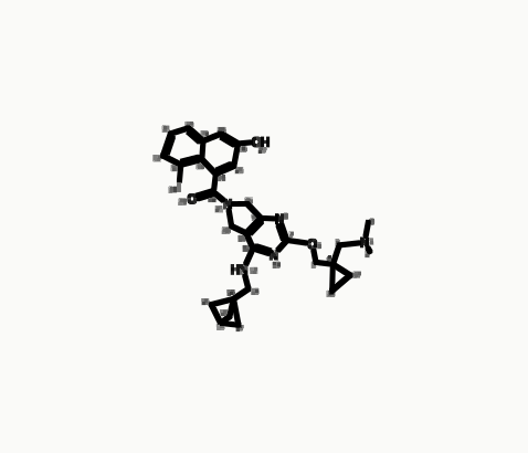 CN(C)CC1(COc2nc3c(c(NCC45CC(C4)C5)n2)CN(C(=O)c2cc(O)cc4cccc(I)c24)C3)CC1